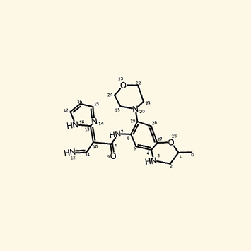 CC1CNc2cc(NC(=O)/C(C=N)=C3\N=CC=CN3)c(N3CCOCC3)cc2O1